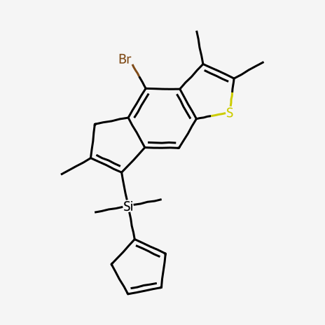 CC1=C([Si](C)(C)C2=CC=CC2)c2cc3sc(C)c(C)c3c(Br)c2C1